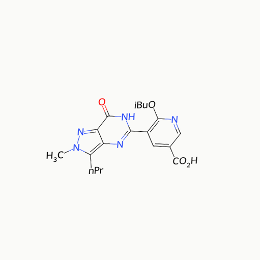 CCCc1c2nc(-c3cc(C(=O)O)cnc3OCC(C)C)[nH]c(=O)c2nn1C